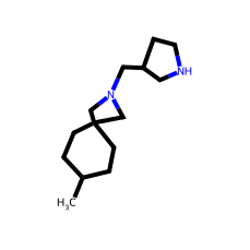 CC1CCC2(CC1)CN(CC1CCNC1)C2